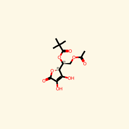 CC(=O)OC[C@H](OC(=O)C(C)(C)C)[C@H]1OC(=O)C(O)=C1O